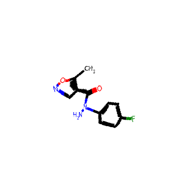 Cc1oncc1C(=O)N(N)c1ccc(F)cc1